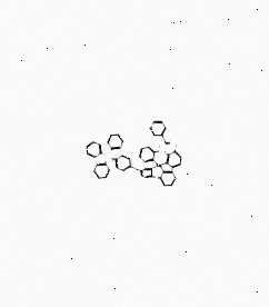 c1ccc(-c2nc3cccc4c3n2-c2ccccc2C42c3ccccc3-c3ccc(-c4ccc([Si](c5ccccc5)(c5ccccc5)c5ccccc5)cc4)cc32)cc1